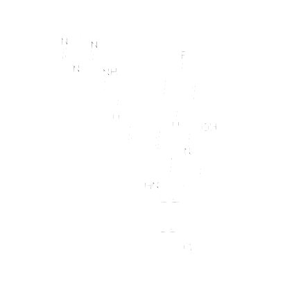 OC(Oc1ccc(F)cc1)N1CCc2c([nH]c3ccc(Cl)cc23)C1c1ccc(OCCNc2ncncn2)cc1